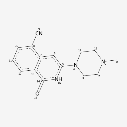 CN1CCN(c2cc3c(C#N)cccc3c(=O)[nH]2)CC1